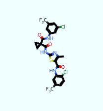 Cc1nc(NC(=O)C2(C(=O)Nc3cc(Cl)cc(C(F)(F)F)c3)CC2)sc1C(=O)Nc1cc(C(F)(F)F)ccc1Cl